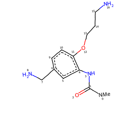 CNC(=O)Nc1cc(CN)ccc1OCCCN